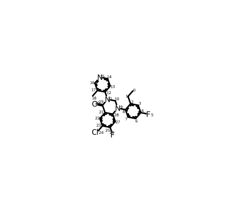 CCc1cc(F)ccc1N1CN(c2ccncc2C)C(=O)c2cc(Cl)c(F)cc21